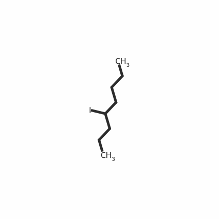 CCCCC(I)CCC